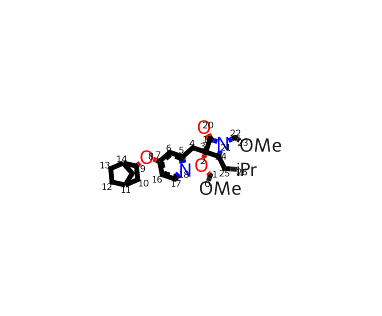 COCOC1(Cc2cc(OC3CC4CCC3C4)ccn2)C(=O)N(COC)C1CC(C)C